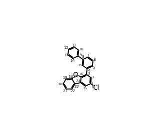 Clc1cc(-c2cccc(-c3ccccc3)c2)c2oc3ccccc3c2c1